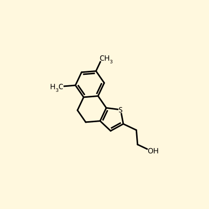 Cc1cc(C)c2c(c1)-c1sc(CCO)cc1CC2